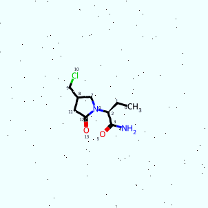 CC[C@@H](C(N)=O)N1CC(CCl)CC1=O